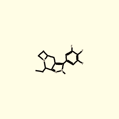 CCC1c2nn(C)c(-c3cc(F)c(F)c(F)c3)c2CC2CCN21